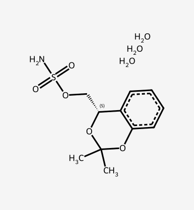 CC1(C)Oc2ccccc2[C@@H](COS(N)(=O)=O)O1.O.O.O